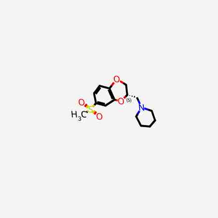 CS(=O)(=O)c1ccc2c(c1)O[C@@H](CN1CCCCC1)CO2